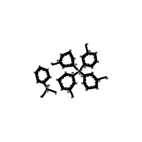 C[NH+](C)c1ccccc1.Cc1ccc[c]([Al-]([c]2cccc(C)c2)([c]2cccc(C)c2)[c]2cccc(C)c2)c1